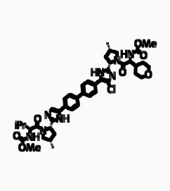 COC(=O)N[C@H](C(=O)N1C[C@@H](C)C[C@H]1c1ncc(-c2ccc(-c3ccc(-c4[nH]c([C@@H]5C[C@H](C)CN5C(=O)[C@@H](NC(=O)OC)C5CCOCC5)nc4Cl)cc3)cc2)[nH]1)C(C)C